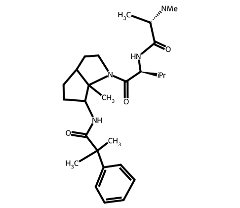 CN[C@@H](C)C(=O)N[C@H](C(=O)N1CCC2CCC(NC(=O)C(C)(C)c3ccccc3)C21C)C(C)C